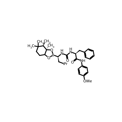 COc1ccc(NC(=O)[C@H](Cc2ccccc2)NC(=O)N[C@@H](CC(C)C)B2OC3CCC(C)(C)[C@@H](C)[C@@]3(C)O2)cc1